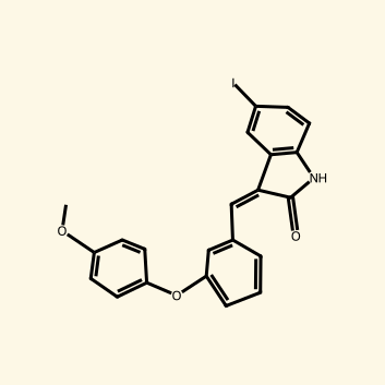 COc1ccc(Oc2cccc(C=C3C(=O)Nc4ccc(I)cc43)c2)cc1